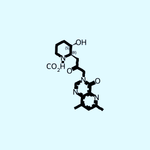 Cc1cc(C)c2ncn(CC(=O)C[C@@H]3[C@@H](O)CCCN3C(=O)O)c(=O)c2n1